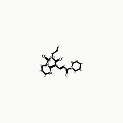 CCCn1c(=O)c(C=CC(=O)N2CCCCC2)c2n(c1=O)CCCS2